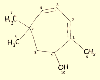 CC1=CC=CC(C)(C)CC1O